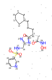 O=C(C[C@@H](CCCC1CCCCC1)c1nc(CNS(=O)(=O)c2cccnc2)no1)NO